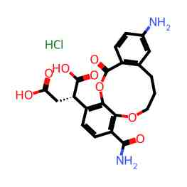 Cl.NC(=O)c1ccc([C@H](CC(=O)O)C(=O)O)c2c1OCCCc1cc(N)ccc1C(=O)O2